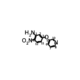 Nc1cc(Oc2cccnc2)ccc1[N+](=O)[O-]